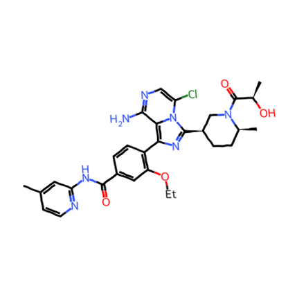 CCOc1cc(C(=O)Nc2cc(C)ccn2)ccc1-c1nc([C@@H]2CC[C@H](C)N(C(=O)[C@@H](C)O)C2)n2c(Cl)cnc(N)c12